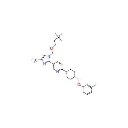 Cc1cccc(OC[C@H]2CC[C@H](c3ccc(-c4nc(C(F)(F)F)cn4COCC[Si](C)(C)C)cn3)CC2)c1